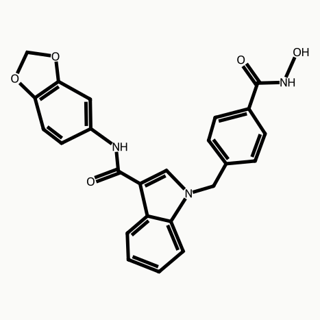 O=C(NO)c1ccc(Cn2cc(C(=O)Nc3ccc4c(c3)OCO4)c3ccccc32)cc1